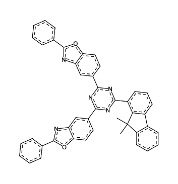 CC1(C)c2ccccc2-c2cccc(-c3nc(-c4ccc5oc(-c6ccccc6)nc5c4)nc(-c4ccc5oc(-c6ccccc6)nc5c4)n3)c21